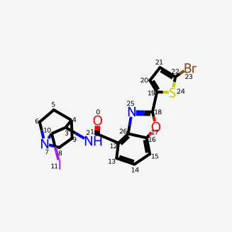 O=C(NC1C2CCN(CC2)C1I)c1cccc2oc(-c3ccc(Br)s3)nc12